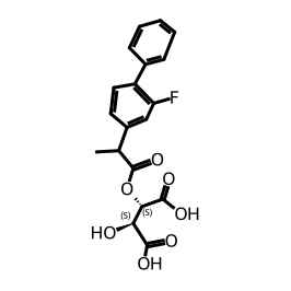 CC(C(=O)O[C@H](C(=O)O)[C@H](O)C(=O)O)c1ccc(-c2ccccc2)c(F)c1